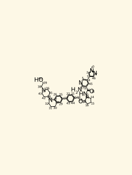 Cn1cc(-c2cnc(N)c(C(=O)N[C@H]3CCC[C@@H]3OCc3ccc(-c4ccc5c(c4)CCCN5C4CCN(CCO)CC4)cc3)c2)cn1